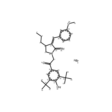 Br.CCCC1CN(CC(=O)c2cc(C(C)(C)C)c(O)c(C(C)(C)C)c2)C(=N)C1=Cc1cccc(OC)c1